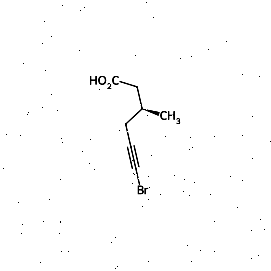 C[C@@H](CC#CBr)CC(=O)O